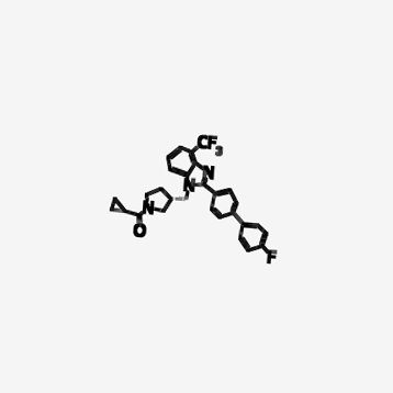 O=C(C1CC1)N1CC[C@H](Cn2c(-c3ccc(-c4ccc(F)cc4)cc3)nc3c(C(F)(F)F)cccc32)C1